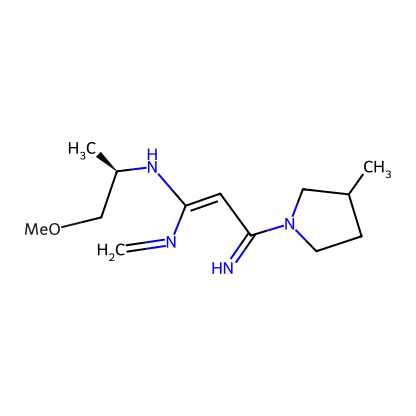 C=N/C(=C\C(=N)N1CCC(C)C1)N[C@H](C)COC